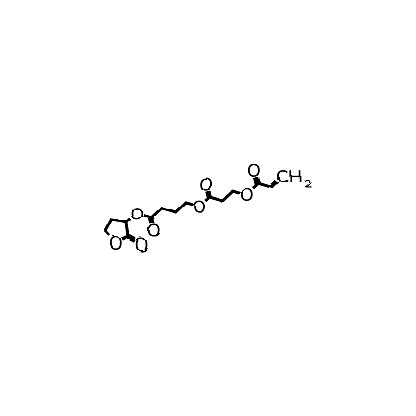 C=CC(=O)OCCC(=O)OCCCC(=O)OC1CCOC1=O